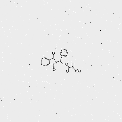 CC(C)(C)NC(=O)OCC(c1ccccc1)N1C(=O)c2ccccc2C1=O